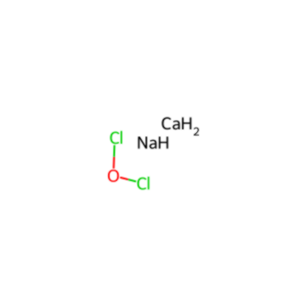 ClOCl.[CaH2].[NaH]